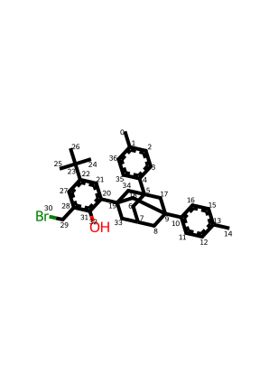 Cc1ccc(C23CC4CC(c5ccc(C)cc5)(C2)CC(c2cc(C(C)(C)C)cc(CBr)c2O)(C4)C3)cc1